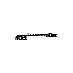 CCCCCCCC/C=C\CCCCCCC[CH]C=CCCCCCCCCCCCCCCCCCCCCCC